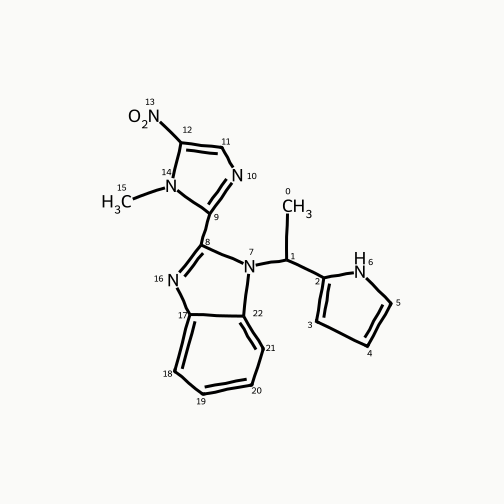 CC(c1ccc[nH]1)n1c(-c2ncc([N+](=O)[O-])n2C)nc2ccccc21